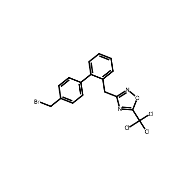 ClC(Cl)(Cl)c1nc(Cc2ccccc2-c2ccc(CBr)cc2)no1